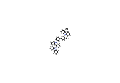 N#Cc1ccc(-c2cccc(-n3c4ccccc4c4c(-n5c6ccccc6c6ccccc65)cccc43)c2)cc1-n1c2ccccc2c2c(C#N)cccc21